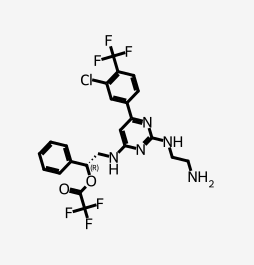 NCCNc1nc(NC[C@H](OC(=O)C(F)(F)F)c2ccccc2)cc(-c2ccc(C(F)(F)F)c(Cl)c2)n1